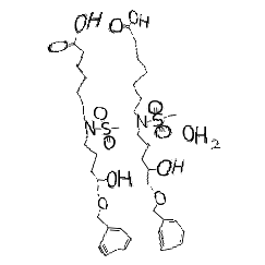 CS(=O)(=O)N(CCCCCCC(=O)O)CCCC(O)COCc1ccccc1.CS(=O)(=O)N(CCCCCCC(=O)O)CCCC(O)COCc1ccccc1.O